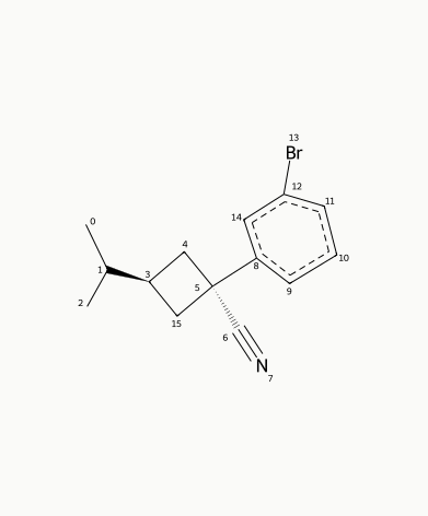 CC(C)[C@H]1C[C@@](C#N)(c2cccc(Br)c2)C1